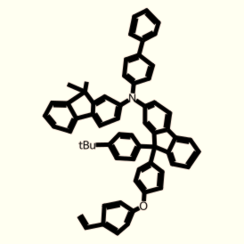 C=Cc1ccc(Oc2ccc(C3(c4ccc(C(C)(C)C)cc4)c4ccccc4-c4ccc(N(c5ccc(-c6ccccc6)cc5)c5ccc6c(c5)C(C)(C)c5ccccc5-6)cc43)cc2)cc1